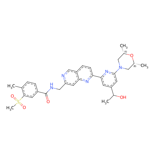 Cc1ccc(C(=O)NCc2cc3nc(-c4cc(C(C)O)cc(N5C[C@@H](C)O[C@@H](C)C5)n4)ccc3cn2)cc1S(C)(=O)=O